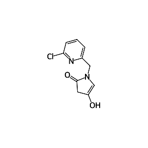 O=C1CC(O)=CN1Cc1cccc(Cl)n1